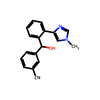 Cn1cnc(-c2ccccc2C(O)c2cccc(C#N)c2)c1